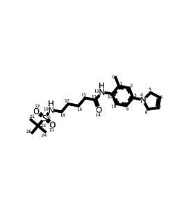 Cc1cc(N2CC=CC2)ccc1NC(=O)CCCCNS(=O)(=O)C(C)(C)C